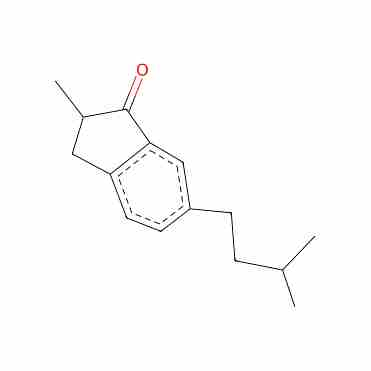 CC(C)CCc1ccc2c(c1)C(=O)C(C)C2